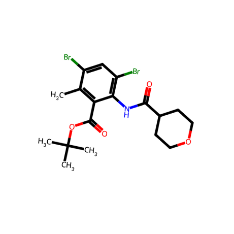 Cc1c(Br)cc(Br)c(NC(=O)C2CCOCC2)c1C(=O)OC(C)(C)C